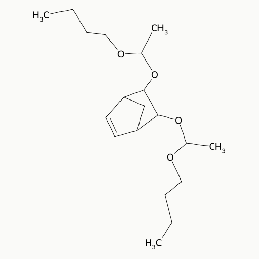 CCCCOC(C)OC1C2C=CC(C2)C1OC(C)OCCCC